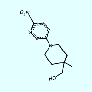 CC1(CO)CCN(c2ccc([N+](=O)[O-])nc2)CC1